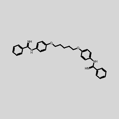 N=C(Nc1ccc(OCCCCCOc2ccc(NC(=N)c3ccccc3)cc2)cc1)c1ccccc1